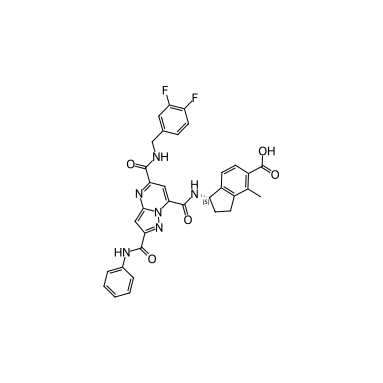 Cc1c(C(=O)O)ccc2c1CC[C@@H]2NC(=O)c1cc(C(=O)NCc2ccc(F)c(F)c2)nc2cc(C(=O)Nc3ccccc3)nn12